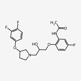 CC(=O)Nc1cc(F)ccc1OCC(O)CN1CCC(Oc2ccc(F)c(F)c2)C1